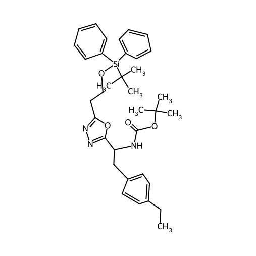 CCc1ccc(CC(NC(=O)OC(C)(C)C)c2nnc(CCO[Si](c3ccccc3)(c3ccccc3)C(C)(C)C)o2)cc1